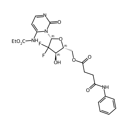 CCOC(=O)Nc1ccnc(=O)n1[C@@H]1O[C@H](COC(=O)CCC(=O)Nc2ccccc2)[C@@H](O)C1(F)F